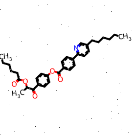 CCCCCCc1ccc(-c2ccc(C(=O)Oc3ccc(C(=O)C(C)OC(=O)CCCCC)cc3)cc2)nc1